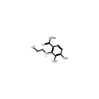 COC(=O)c1ccc(O)c(O)c1OCCCl